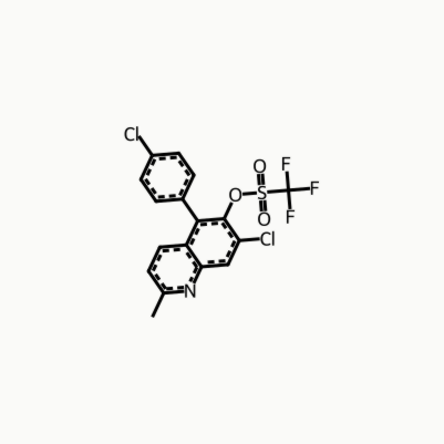 Cc1ccc2c(-c3ccc(Cl)cc3)c(OS(=O)(=O)C(F)(F)F)c(Cl)cc2n1